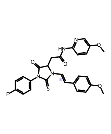 COc1ccc(/C=C/N2C(=S)N(c3ccc(F)cc3)C(=O)C2CC(=O)Nc2ccc(OC)cn2)cc1